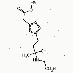 CC(C)(CCc1csc(CC(=O)OC(C)(C)C)c1)NCC(=O)O